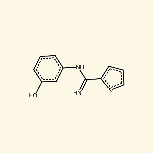 N=C(Nc1cccc(O)c1)c1cccs1